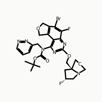 CC(C)(C)OC(=O)N(Cc1cccnn1)c1nc(OC[C@@]23CCCN2C[C@H](F)C3)nc2c(F)c(Br)c3c(c12)COC3